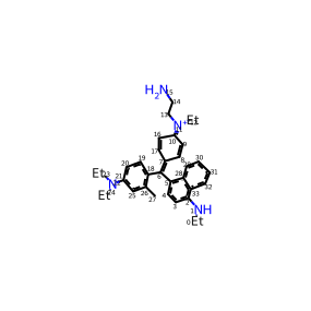 CCNc1ccc(C(=C2C=CC(=[N+](CC)CCN)C=C2)c2ccc(N(CC)CC)cc2C)c2ccccc12